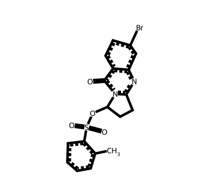 Cc1ccccc1S(=O)(=O)OC1CCc2nc3cc(Br)ccc3c(=O)n21